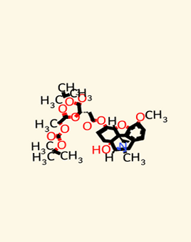 COc1ccc2c3c1O[C@H]1C(OC(=O)C[C@H](OC(=O)[C@H](C)OC(=O)OC(C)(C)C)C(=O)OC(C)(C)C)=CC[C@@]4(O)[C@@H](C2)N(C)CC[C@]314